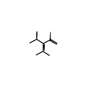 C=C(C)C(=C(C)C)C(C)C